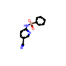 N#Cc1ccc(NS(=O)(=O)c2ccccc2)nc1